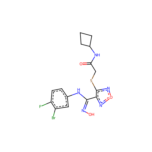 O=C(CSc1nonc1C(=NO)Nc1ccc(F)c(Br)c1)NC1CCC1